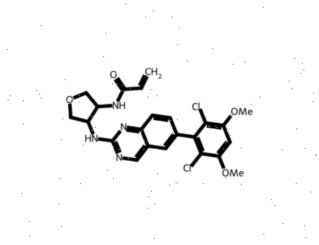 C=CC(=O)NC1COCC1Nc1ncc2cc(-c3c(Cl)c(OC)cc(OC)c3Cl)ccc2n1